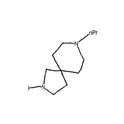 CCCN1CCC2(CCN(I)C2)CC1